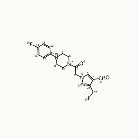 O=Cc1cn(CC(=O)N2CCN(c3ccc(F)cc3)CC2)nc1CF